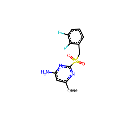 COc1cc(N)nc(S(=O)(=O)Cc2cccc(F)c2F)n1